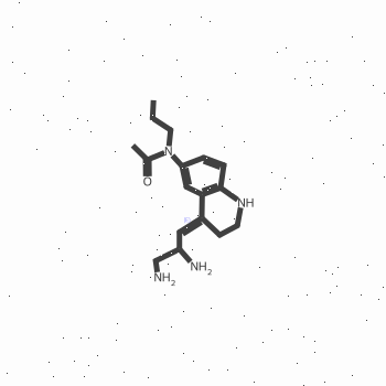 CCCN(C(C)=O)c1ccc2c(c1)/C(=C/C(N)CN)CCN2